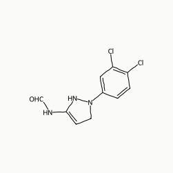 O=CNC1=CCN(c2ccc(Cl)c(Cl)c2)N1